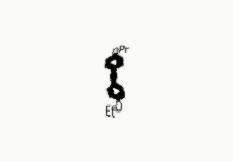 CCCc1ccc(C#Cc2ccc(OCC)cc2)cc1